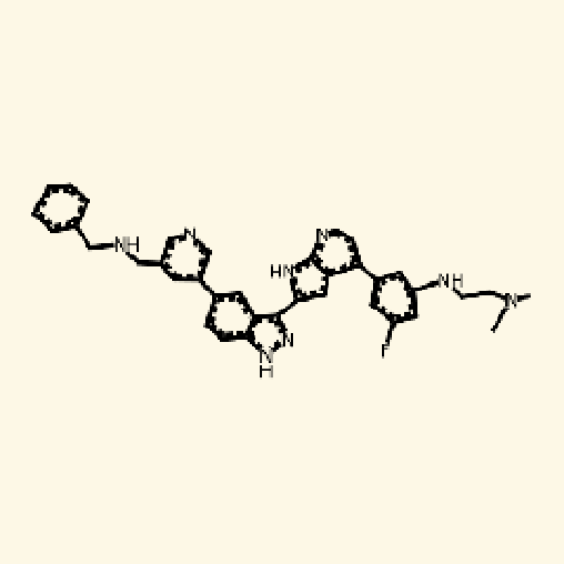 CN(C)CCNc1cc(F)cc(-c2ccnc3[nH]c(-c4n[nH]c5ccc(-c6cncc(CNCc7ccccc7)c6)cc45)cc23)c1